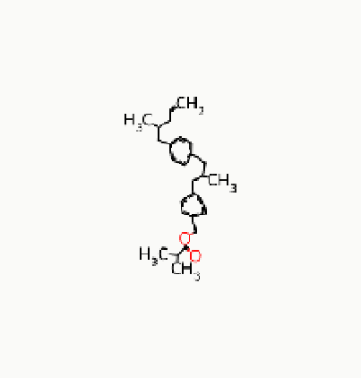 C=CCC(C)Cc1ccc(CC(C)Cc2ccc(COC(=O)C(C)C)cc2)cc1